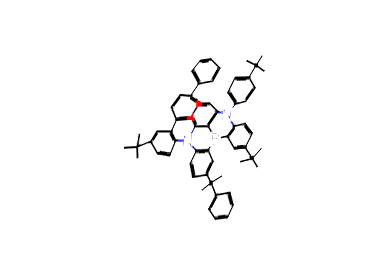 Cc1cc2c3c(c1)N(c1ccc(C(C)(C)C)cc1-c1ccc(-c4ccccc4)cc1)c1ccc(C(C)(C)c4ccccc4)cc1B3c1cc(C(C)(C)C)ccc1N2c1ccc(C(C)(C)C)cc1